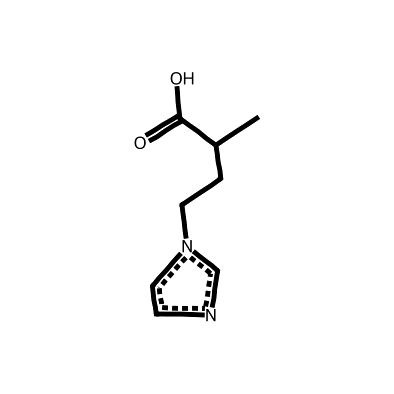 CC(CCn1ccnc1)C(=O)O